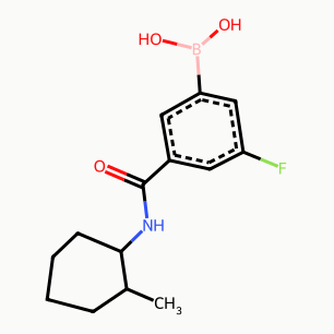 CC1CCCCC1NC(=O)c1cc(F)cc(B(O)O)c1